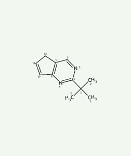 CC(C)(C)c1ncc2c(n1)C=CC2